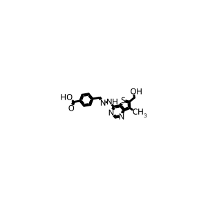 Cc1c(CO)sc2c(NN=Cc3ccc(C(=O)O)cc3)ncnc12